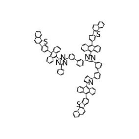 c1ccc(-c2nc(-c3cccc(-c4cccc(-c5cc(-c6cccc(-c7cccc(-c8cccc(-c9c%10ccccc%10c(-c%10ccc%11c(c%10)sc%10c%12ccccc%12ccc%11%10)c%10ccccc9%10)n8)c7)c6)nc(-c6c7ccccc7c(-c7ccc8c(c7)sc7c9ccccc9ccc87)c7ccccc67)n5)c4)c3)nc(-c3c4ccccc4c(-c4ccc5c(c4)sc4c6ccccc6ccc54)c4ccccc34)n2)cc1